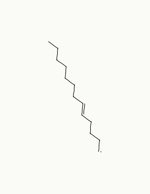 [CH2]CCC/C=C/CCCCCCC